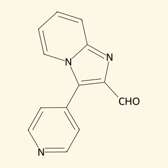 O=Cc1nc2ccccn2c1-c1ccncc1